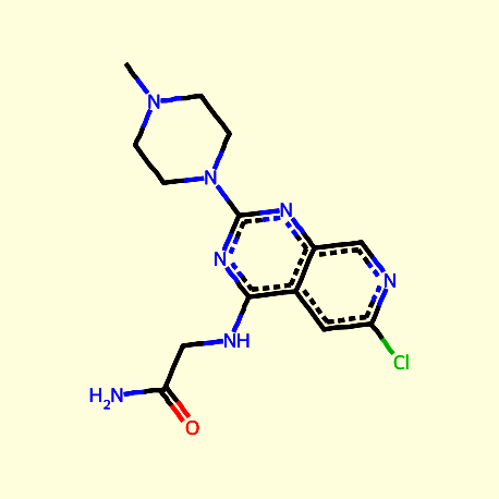 CN1CCN(c2nc(NCC(N)=O)c3cc(Cl)ncc3n2)CC1